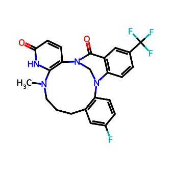 CN1CCCc2cc(F)ccc2N2CN(C(=O)c3cc(C(F)(F)F)ccc32)c2ccc(=O)[nH]c21